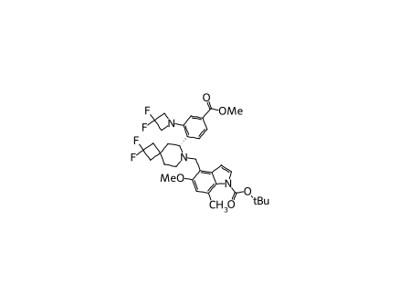 COC(=O)c1ccc([C@H]2CC3(CCN2Cc2c(OC)cc(C)c4c2ccn4C(=O)OC(C)(C)C)CC(F)(F)C3)c(N2CC(F)(F)C2)c1